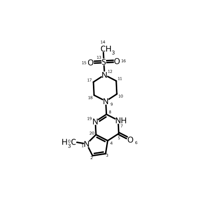 Cn1ccc2c(=O)[nH]c(N3CCN(S(C)(=O)=O)CC3)nc21